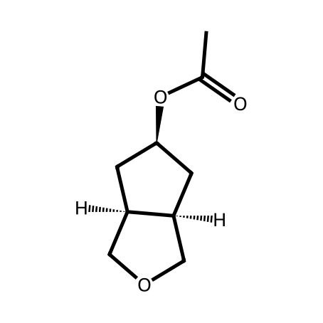 CC(=O)O[C@H]1C[C@H]2COC[C@H]2C1